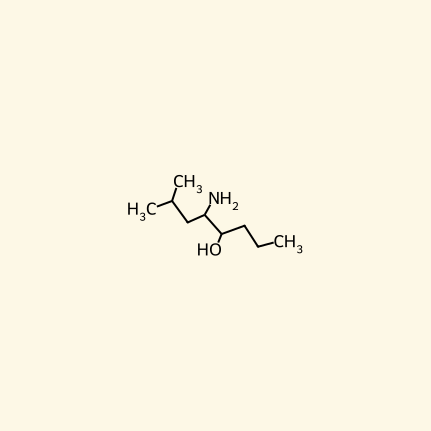 CCCC(O)C(N)CC(C)C